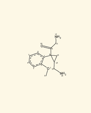 COc1ccccc1C1(C(=O)CN)CC1CN